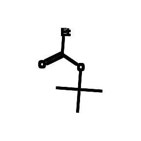 [CH]CC(=O)OC(C)(C)C